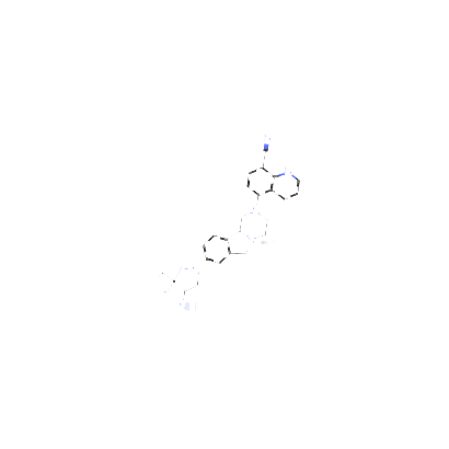 C[C@@H]1CN(c2ccc(C#N)c3ncccc23)CC2c3ccc(N4CC(N)C5(COC5)C4)cc3CN21